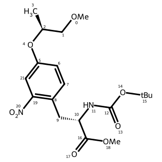 COC[C@H](C)Oc1ccc(C[C@H](NC(=O)OC(C)(C)C)C(=O)OC)c([N+](=O)[O-])c1